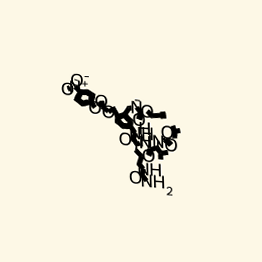 C#CCOC(=O)N(C)Cc1cc(NC(=O)[C@H](CCCNC(N)=O)NC(=O)[C@@H](NC(=O)OC(C)(C)C)C(C)C)ccc1COC(=O)Oc1ccc([N+](=O)[O-])cc1